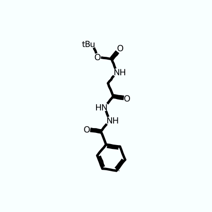 CC(C)(C)OC(=O)NCC(=O)NNC(=O)c1cc[c]cc1